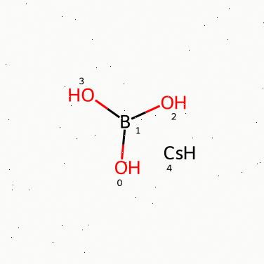 OB(O)O.[CsH]